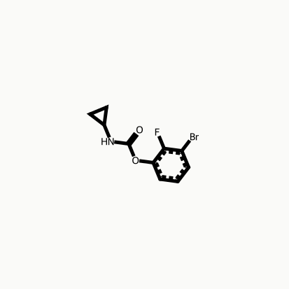 O=C(NC1CC1)Oc1cccc(Br)c1F